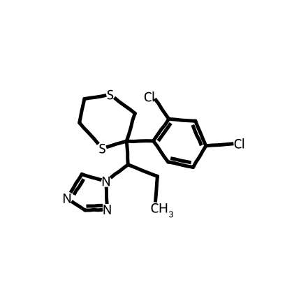 CCC(n1cncn1)C1(c2ccc(Cl)cc2Cl)CSCCS1